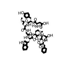 CSCC[C@H](NC(=O)[C@H](Cc1ccc(O)cc1)NC(=O)[C@@H](N)CC(=O)O)C(=O)NCC(=O)N[C@@H](Cc1c[nH]c2ccccc12)C(=O)N[C@@H](CCSC)C(=O)N[C@@H](CC(=O)O)C(=O)N[C@@H](Cc1ccccc1)C(=O)O